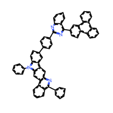 c1ccc(-c2nc3cc4c5cc(-c6ccc(-c7nc(-c8ccc9c%10ccccc%10c%10ccccc%10c9c8)c8ccccc8n7)cc6)ccc5n(-c5ccccc5)c4cc3c3ccccc23)cc1